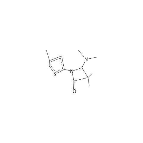 Cc1csc(N2C(=O)C(C)(C)C2N(C)C)c1